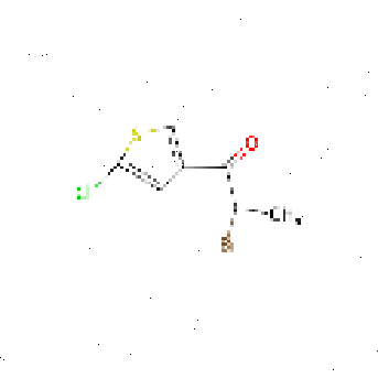 CC(Br)C(=O)c1csc(Cl)c1